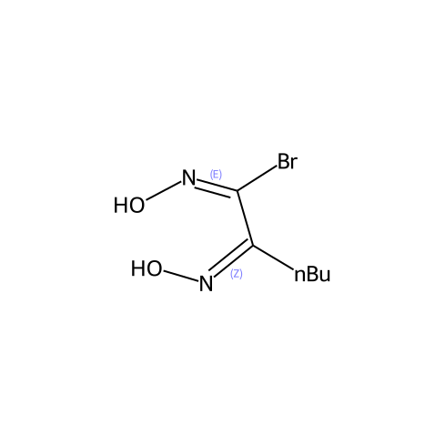 CCCCC(=N/O)/C(Br)=N\O